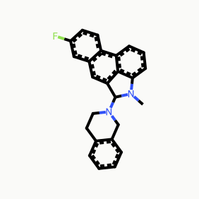 CN1c2cccc3c2c(cc2cc(F)ccc23)C1N1CCc2ccccc2C1